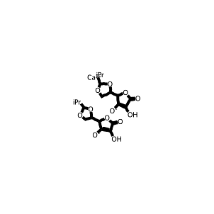 CC(C)C1OCC(C2OC(=O)C(O)=C2[O-])O1.CC(C)C1OCC(C2OC(=O)C(O)=C2[O-])O1.[Ca+2]